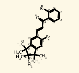 CC1(C)c2cc(Br)c(/C=C/C(=O)c3ccccc3Br)cc2C(C)(C)C1(C)C